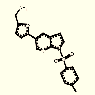 Cc1ccc(S(=O)(=O)n2ccc3cc(-c4ccc(CN)s4)cnc32)cc1